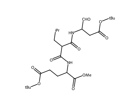 COC(=O)C(CCC(=O)OC(C)(C)C)NC(=O)C(CC(C)C)C(=O)NC(C=O)CC(=O)OC(C)(C)C